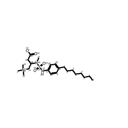 CCCCCCCCc1ccc(NS(=O)(=O)N(C)C(CC(=O)[O-])C[N+](C)(C)C)cc1